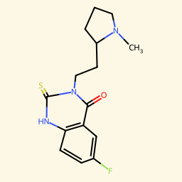 CN1CCCC1CCn1c(=S)[nH]c2ccc(F)cc2c1=O